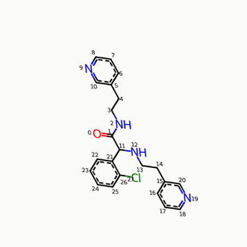 O=C(NCCc1cccnc1)C(NCCc1cccnc1)c1ccccc1Cl